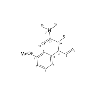 C=CC(c1cccc(OC)c1)C(C)C(=O)N(C)C